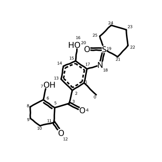 Cc1c(C(=O)C2=C(O)CCCC2=O)ccc(O)c1N=S1(=O)CCCCC1